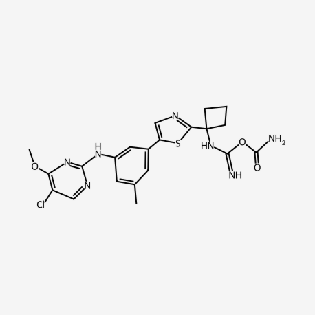 COc1nc(Nc2cc(C)cc(-c3cnc(C4(NC(=N)OC(N)=O)CCC4)s3)c2)ncc1Cl